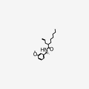 C=CCC(CCCCCC)C(=O)N[C@H](C)c1cccc(OC)c1